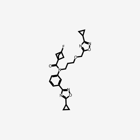 O=C(N(CCCOCc1nc(C2CC2)no1)c1cccc(-c2noc(C3CC3)n2)c1)C12CC(F)(C1)C2